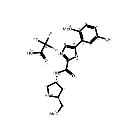 COC[C@@H]1C[C@@H](NC(=O)c2ncc(-c3cc(C#N)ccc3OC)o2)CN1.O=C(O)C(F)(F)F